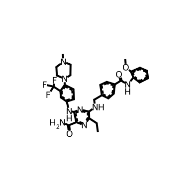 CCc1nc(C(N)=O)c(Nc2ccc(N3CCN(C)CC3)c(C(F)(F)F)c2)nc1NCc1ccc(C(=O)Nc2ccccc2OC)cc1